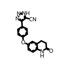 N#Cc1[nH]nnc1-c1ccc(Oc2ccc3c(c2)CCC(=O)N3)cc1